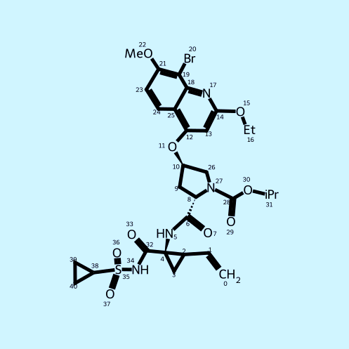 C=CC1C[C@]1(NC(=O)[C@@H]1C[C@@H](Oc2cc(OCC)nc3c(Br)c(OC)ccc23)CN1C(=O)OC(C)C)C(=O)NS(=O)(=O)C1CC1